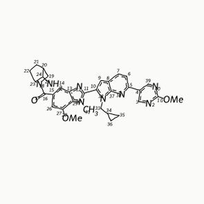 COc1ncc(-c2ccc3cc(-c4nc5cc(C(=O)N6CC7CCC6C7N)cc(OC)c5n4C)n(CC4CC4)c3n2)cn1